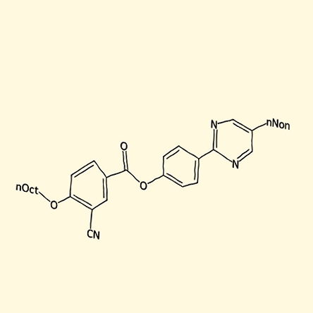 CCCCCCCCCc1cnc(-c2ccc(OC(=O)c3ccc(OCCCCCCCC)c(C#N)c3)cc2)nc1